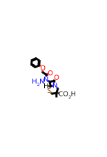 CC1(C(=O)O)CS[C@@H]2C(N(N)C(=O)COc3ccccc3)C(=O)N2C1